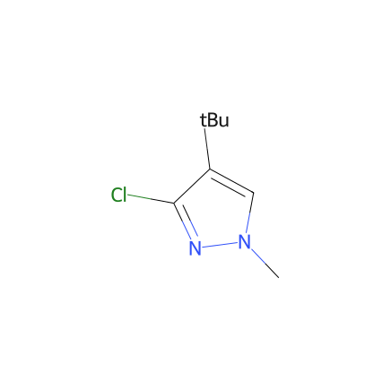 Cn1cc(C(C)(C)C)c(Cl)n1